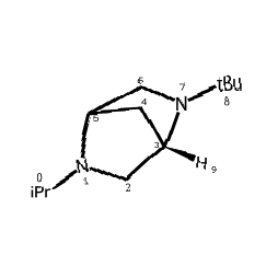 CC(C)N1C[C@@H]2CC1CN2C(C)(C)C